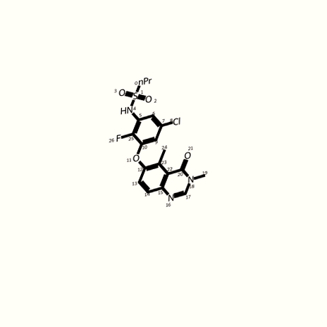 CCCS(=O)(=O)Nc1cc(Cl)cc(Oc2ccc3ncn(C)c(=O)c3c2C)c1F